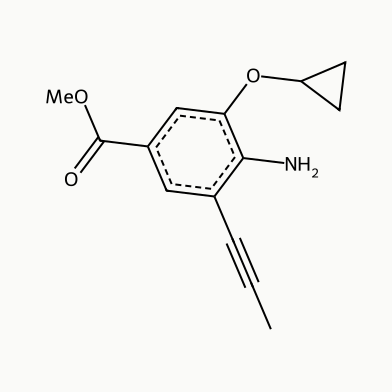 CC#Cc1cc(C(=O)OC)cc(OC2CC2)c1N